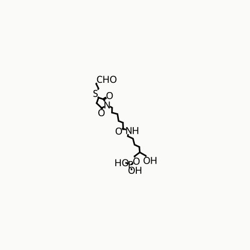 O=CCCSC1CC(=O)N(CCCCCC(=O)NCCCCC(CO)COP(O)O)C1=O